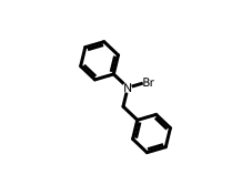 BrN(Cc1ccccc1)c1ccccc1